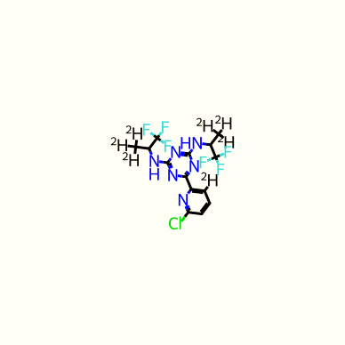 [2H]c1ccc(Cl)nc1-c1nc(NC(C([2H])([2H])[2H])C(F)(F)F)nc(NC(C([2H])([2H])[2H])C(F)(F)F)n1